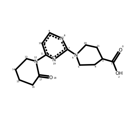 O=C(O)C1CCN(c2nccc(N3CCCCC3=O)n2)CC1